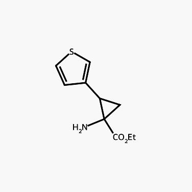 CCOC(=O)C1(N)CC1c1ccsc1